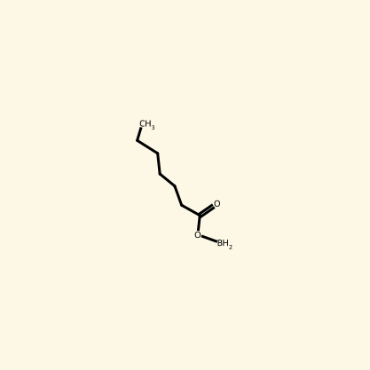 BOC(=O)CCCCCC